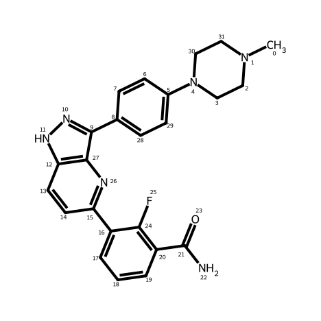 CN1CCN(c2ccc(-c3n[nH]c4ccc(-c5cccc(C(N)=O)c5F)nc34)cc2)CC1